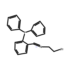 CC(C)CC/N=C/c1ccccc1P(c1ccccc1)c1ccccc1